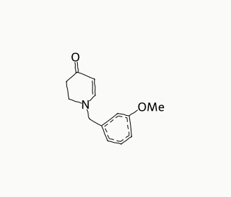 COc1cccc(CN2C=CC(=O)CC2)c1